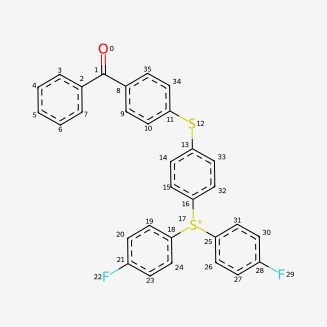 O=C(c1ccccc1)c1ccc(Sc2ccc([S+](c3ccc(F)cc3)c3ccc(F)cc3)cc2)cc1